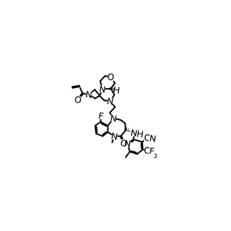 C=CC(=O)N1CC2(CN(CCN3CC[C@H](Nc4nc(C)cc(C(F)(F)F)c4C#N)C(=O)N(C)c4cccc(F)c43)C[C@@H]3COCCN32)C1